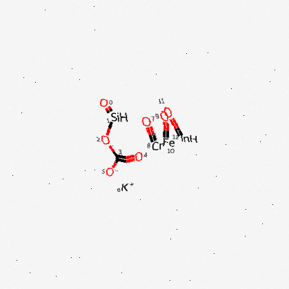 O=[SiH]OC(=O)[O-].[K+].[O]=[Cr].[O]=[Fe].[O]=[InH]